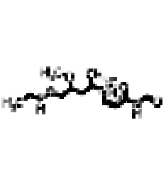 CCPOCC(CC(C)N(C)/C=C\C(=O)NC=O)OC